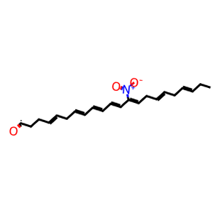 CC/C=C/C/C=C/C/C=C(/C=C/C=C/C=C/C/C=C/CC[C]=O)[N+](=O)[O-]